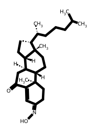 CC(C)CCC[C@@H](C)[C@H]1CC[C@H]2[C@@H]3CC(=O)C4=CC(=NO)CC[C@]4(C)[C@H]3CC[C@]12C